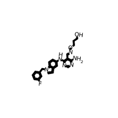 Nc1ncnc(Nc2ccc3c(ccn3Cc3cccc(F)c3)c2)c1C=NOCCCO